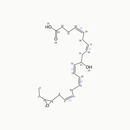 CCC1OC1C/C=C\C/C=C\C=C/C(O)C/C=C\C/C=C\CCC(=O)O